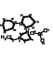 C=Cn1ccnc1.ClB(Cl)Cl.c1ccc(-c2ccccc2)cc1